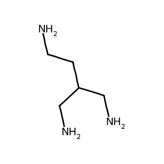 NCCC(CN)CN